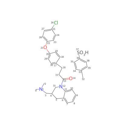 CN(C)CC1Cc2ccccc2N(C(=O)CCc2ccc(Oc3ccc(Cl)cc3)cc2)C1.Cc1ccc(S(=O)(=O)O)cc1